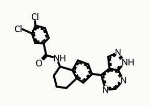 O=C(NC1CCCc2cc(-c3ncnc4[nH]ncc34)ccc21)c1ccc(Cl)c(Cl)c1